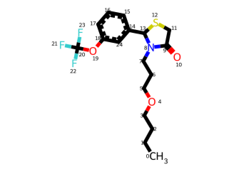 CCCCOCCCN1C(=O)CSC1c1cccc(OC(F)(F)F)c1